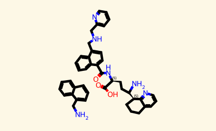 NC(CC[C@H](NC(=O)c1ccc(CNCc2ccccn2)c2ccccc12)C(=O)O)[C@@H]1CCCc2cccnc21.NCc1cccc2ccccc12